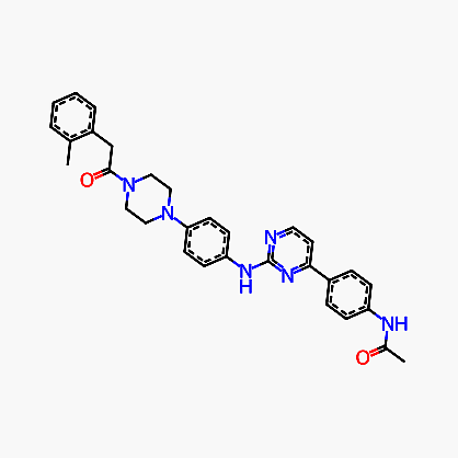 CC(=O)Nc1ccc(-c2ccnc(Nc3ccc(N4CCN(C(=O)Cc5ccccc5C)CC4)cc3)n2)cc1